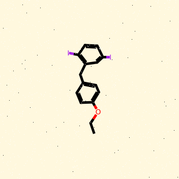 CCOc1ccc(Cc2cc(I)ccc2I)cc1